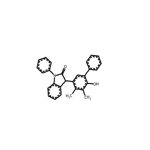 Cc1c(C2C(=O)N(c3ccccc3)c3ccccc32)cc(-c2ccccc2)c(O)c1C